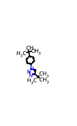 CC(C)(C)c1ccc(-n2cc(C(C)(C)C)nn2)cc1